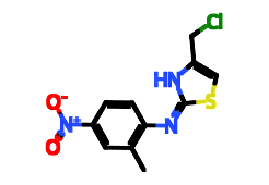 Cc1cc([N+](=O)[O-])ccc1N=c1[nH]c(CCl)cs1